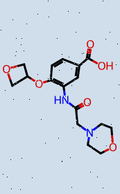 O=C(CN1CCOCC1)Nc1cc(C(=O)O)ccc1OC1COC1